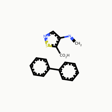 C=Nc1cnsc1C(=O)O.c1ccc(-c2ccccc2)cc1